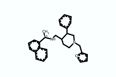 C[C@@H](NCC1CCN(Cc2ccco2)CC1c1ccccc1)c1cccc2ccccc12